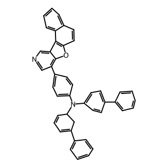 C1=CC(N(c2ccc(-c3ccccc3)cc2)c2ccc(-c3cncc4c3oc3ccc5ccccc5c34)cc2)CC(c2ccccc2)=C1